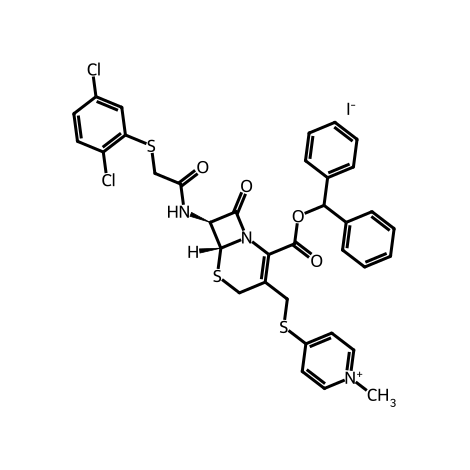 C[n+]1ccc(SCC2=C(C(=O)OC(c3ccccc3)c3ccccc3)N3C(=O)[C@H](NC(=O)CSc4cc(Cl)ccc4Cl)[C@H]3SC2)cc1.[I-]